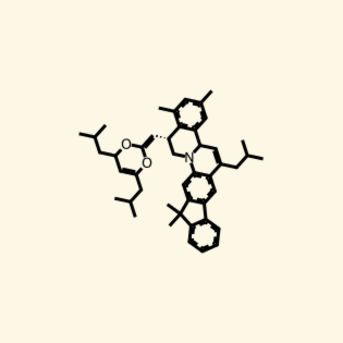 Cc1cc(C)c2c(c1)C1C=C(CC(C)C)c3cc4c(cc3N1C[C@@H]2/C=C1\OC(CC(C)C)=CC(CC(C)C)O1)C(C)(C)c1ccccc1-4